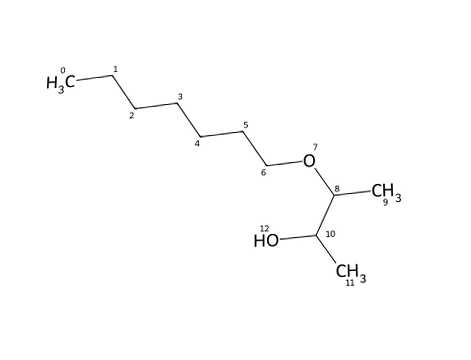 CCCCCCCOC(C)C(C)O